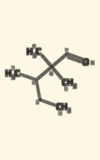 CCC(C)C(C)(C)[C]=O